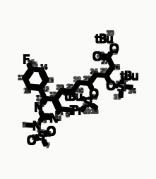 CC(C)c1nc(N(C)S(C)(=O)=O)nc(-c2ccc(F)cc2)c1/C=C/CC(CC(CC(=O)OC(C)(C)C)O[Si](C)(C)C(C)(C)C)O[Si](C)(C)C(C)(C)C